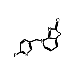 O=c1nc2n(Cc3ccc(F)nc3)cccc-2o1